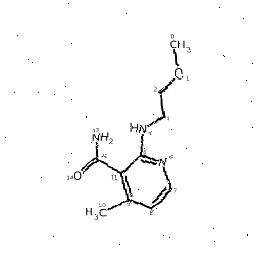 COCCNc1nccc(C)c1C(N)=O